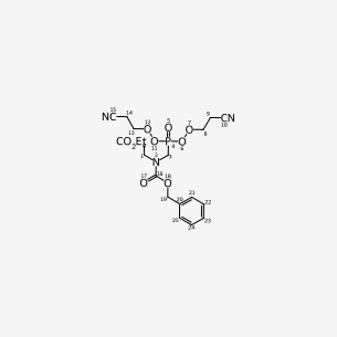 CCOC(=O)CN(CP(=O)(OOCCC#N)OOCCC#N)C(=O)OCc1ccccc1